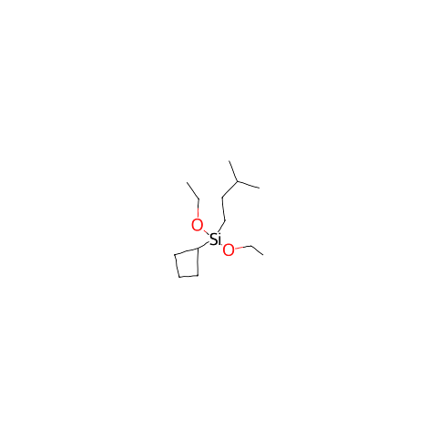 CCO[Si](CCC(C)C)(OCC)C1CCC1